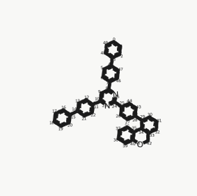 c1ccc(-c2ccc(-c3cc(-c4ccc(-c5ccccc5)cc4)nc(-c4ccc(-c5cccc6c5-c5ccccc5OC6)cc4)n3)cc2)cc1